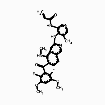 C=CC(=O)Nc1cncc(C)c1Nc1cc2c(NC)c(C(=O)c3c(F)c(OC)cc(OC)c3F)ccc2cn1